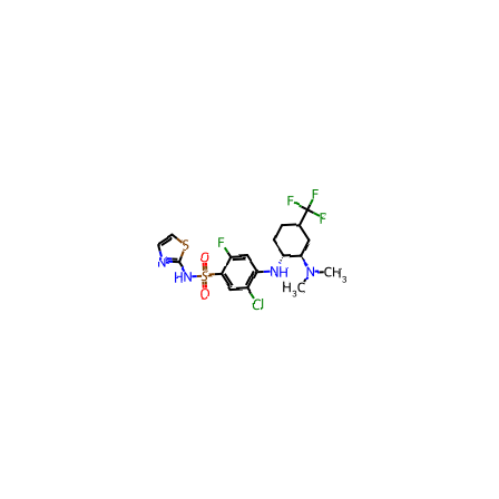 CN(C)[C@@H]1CC(C(F)(F)F)CC[C@H]1Nc1cc(F)c(S(=O)(=O)Nc2nccs2)cc1Cl